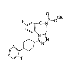 CC(C)(C)OC(=O)N1Cc2cc(F)ccc2-n2c(nnc2[C@H]2CC[C@H](c3ncccc3F)CC2)C1